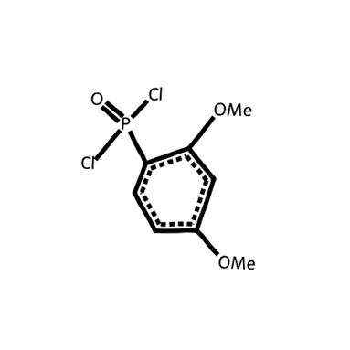 COc1ccc(P(=O)(Cl)Cl)c(OC)c1